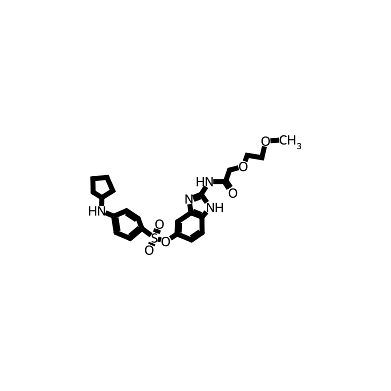 COCCOCC(=O)Nc1nc2cc(OS(=O)(=O)c3ccc(NC4CCCC4)cc3)ccc2[nH]1